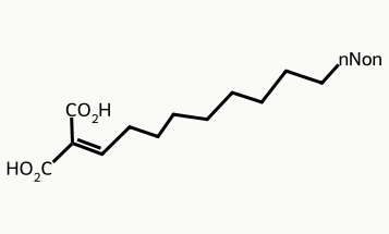 CCCCCCCCCCCCCCCCCC=C(C(=O)O)C(=O)O